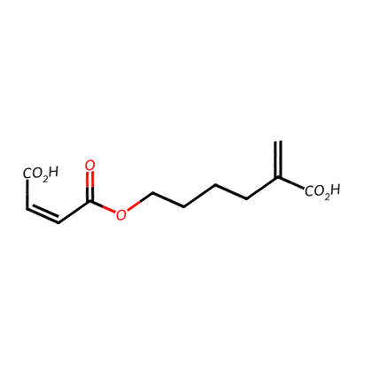 C=C(CCCCOC(=O)/C=C\C(=O)O)C(=O)O